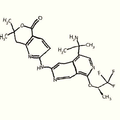 C[C@@H](Oc1ncc(C(C)(C)N)c2cc(Nc3ccc4c(n3)CC(C)(C)OC4=O)ncc12)C(F)(F)F